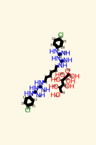 N=C(NCCCCCCNC(=N)NC(=N)Nc1ccc(Cl)cc1)NC(=N)Nc1ccc(Cl)cc1.O=C(O)C(O)(O)[C@@H](O)[C@H](O)[C@H](O)CO